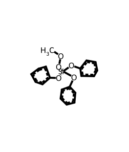 COO[Si](Oc1ccccc1)(Oc1ccccc1)Oc1ccccc1